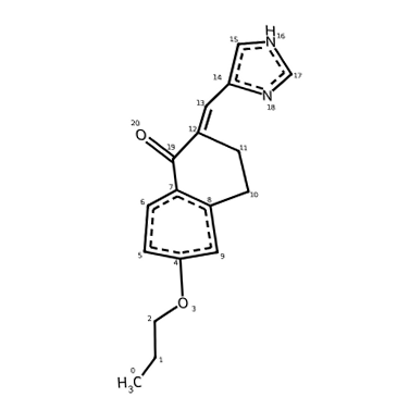 CCCOc1ccc2c(c1)CCC(=Cc1c[nH]cn1)C2=O